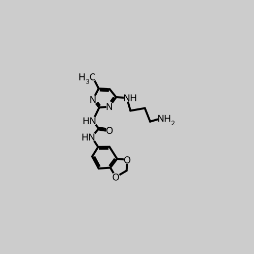 Cc1cc(NCCCN)nc(NC(=O)Nc2ccc3c(c2)OCO3)n1